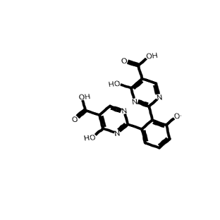 [O]c1cccc(-c2ncc(C(=O)O)c(O)n2)c1-c1ncc(C(=O)O)c(O)n1